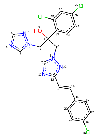 OC(Cn1cncn1)(Cn1cnc(C=Cc2ccc(Cl)cc2)n1)c1ccc(Cl)cc1Cl